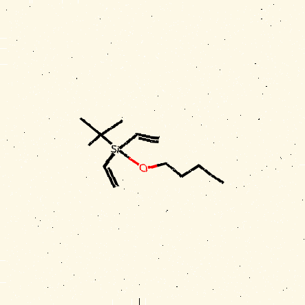 C=C[Si](C=C)(OCCCC)C(C)(C)C